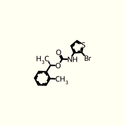 Cc1ccccc1[C@@H](C)OC(=O)Nc1ccsc1Br